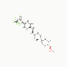 COCC1CCC(C2CCC(/C=C/c3ccc(C(F)(F)C(F)C(F)(F)F)cc3)CC2)CC1